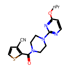 CCCOc1ccnc(N2CCN(C(=O)c3sccc3C#N)CC2)n1